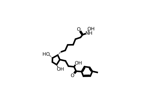 Cc1ccc(C(=O)C(O)CCC2[C@H](O)C[C@H](O)[C@@H]2CCCCCCC(=O)NO)cc1